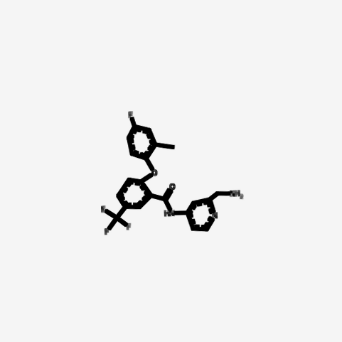 Cc1cc(F)ccc1Oc1ccc(C(F)(F)F)cc1C(=O)Nc1ccnc(CN)c1